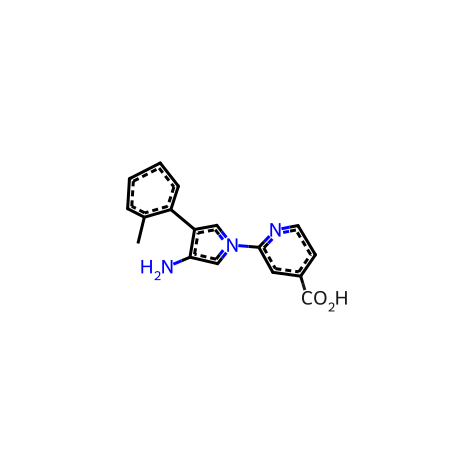 Cc1ccccc1-c1cn(-c2cc(C(=O)O)ccn2)cc1N